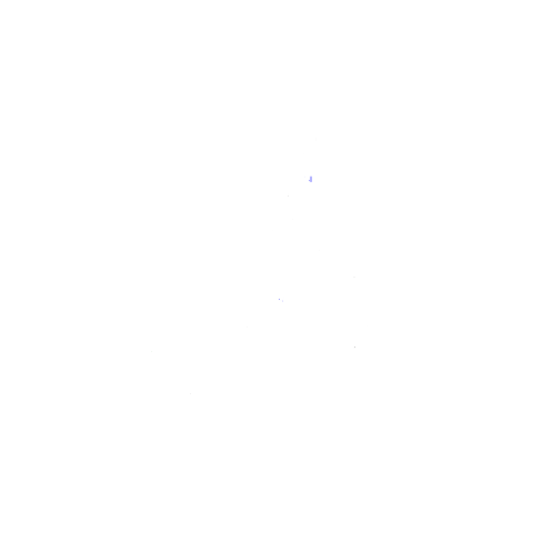 CS(=O)(=O)NC(=O)c1cc(C2CC2)c(CN2CCC(S(=O)(=O)c3cc(Cl)cc(Cl)c3)CC2)cc1F.O=C(O)C(F)(F)F